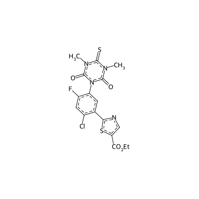 CCOC(=O)c1cnc(-c2cc(-n3c(=O)n(C)c(=S)n(C)c3=O)c(F)cc2Cl)s1